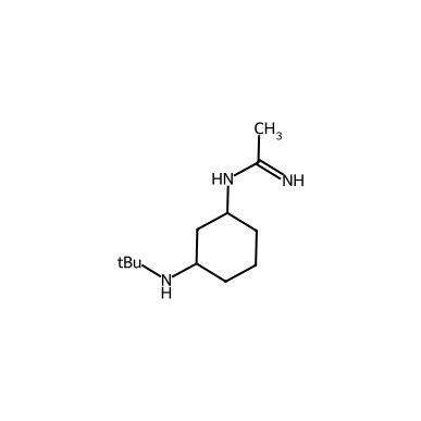 CC(=N)NC1CCCC(NC(C)(C)C)C1